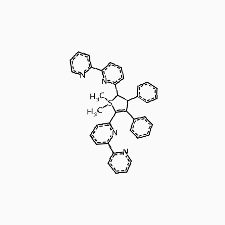 CS1(C)C(c2cccc(-c3ccccn3)n2)=C(c2ccccc2)C(c2ccccc2)C1c1cccc(-c2ccccn2)n1